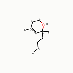 CCCCC1(C)C=C(C)CCO1